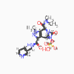 CN(C)C(=O)C1c2c(c(C(=O)NCc3cccnc3)nn2C)C2CN1C(=O)N2OS(=O)(=O)O